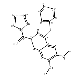 COc1cc2c(cc1OC)C(Cc1ccncc1)=NN(C(=O)n1ccnc1)C2